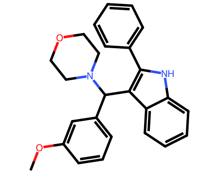 COc1cccc(C(c2c(-c3ccccc3)[nH]c3ccccc23)N2CCOCC2)c1